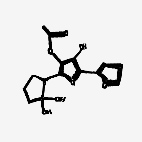 CC(=O)Oc1c(N2CCCS2(O)O)oc(-c2ccco2)c1O